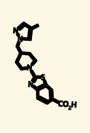 Cc1cnn(CC2CCN(c3nc4ccc(C(=O)O)cc4s3)CC2)c1